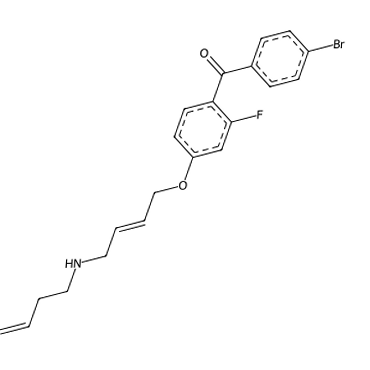 C=CCCNCC=CCOc1ccc(C(=O)c2ccc(Br)cc2)c(F)c1